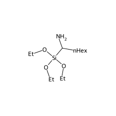 CCCCCCC(N)[Si](OCC)(OCC)OCC